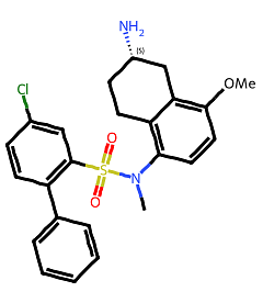 COc1ccc(N(C)S(=O)(=O)c2cc(Cl)ccc2-c2ccccc2)c2c1C[C@@H](N)CC2